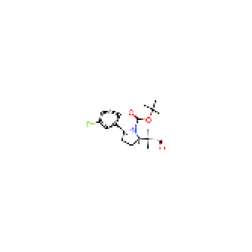 CC(C)(C)OC(=O)N1[C@H](c2cccc(F)c2)CC[C@@H]1C(C)(C)C=O